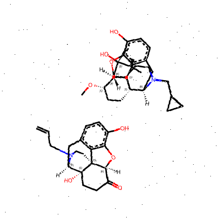 C=CCN1CC[C@]23c4c5ccc(O)c4O[C@H]2C(=O)CC[C@@]3(O)[C@H]1C5.CO[C@@]12CC[C@@]3(C[C@@H]1[C@](C)(O)C(C)(C)C)[C@H]1Cc4ccc(O)c5c4[C@@]3(CCN1CC1CC1)[C@H]2O5